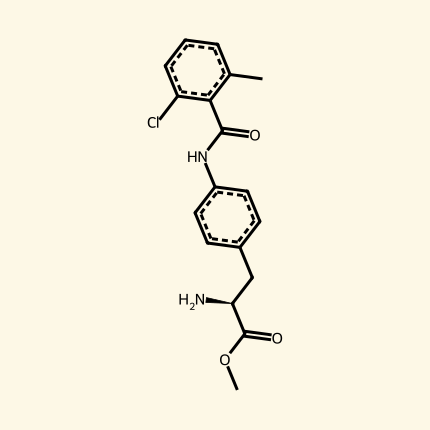 COC(=O)[C@@H](N)Cc1ccc(NC(=O)c2c(C)cccc2Cl)cc1